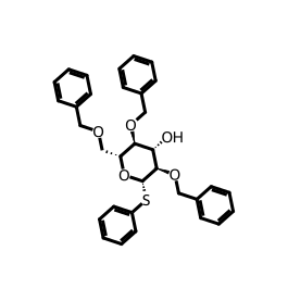 O[C@@H]1[C@@H](OCc2ccccc2)[C@H](Sc2ccccc2)O[C@H](COCc2ccccc2)[C@H]1OCc1ccccc1